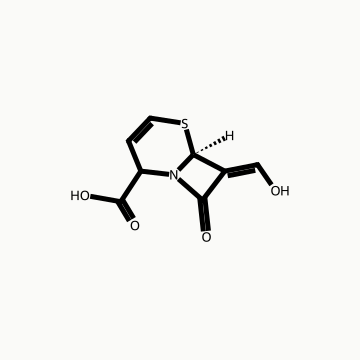 O=C(O)C1C=CS[C@H]2C(=CO)C(=O)N12